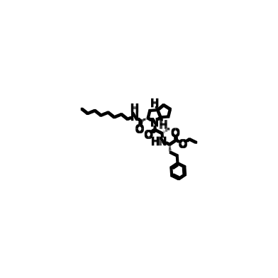 CCCCCCCCNC(=O)[C@@H]1C[C@@H]2CCC[C@@H]2N1C(=O)[C@H](C)N[C@@H](CCc1ccccc1)C(=O)OCC